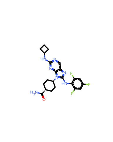 NC(=O)[C@H]1CC[C@@H](n2c(Nc3c(F)cc(F)cc3F)nc3cnc(NC4CCC4)nc32)CC1